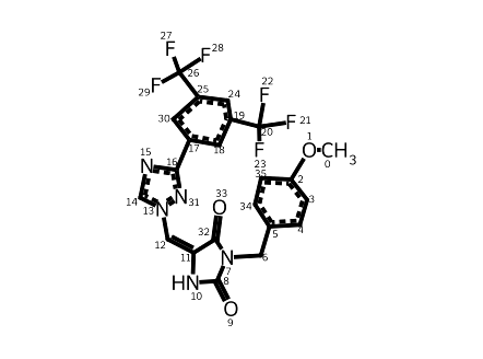 COc1ccc(CN2C(=O)NC(=Cn3cnc(-c4cc(C(F)(F)F)cc(C(F)(F)F)c4)n3)C2=O)cc1